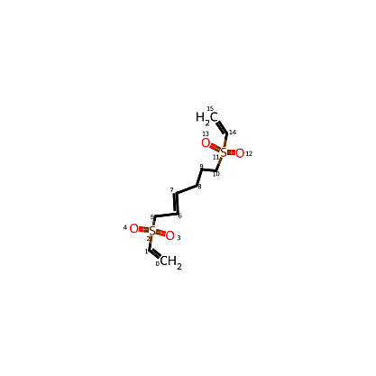 C=CS(=O)(=O)CC=CCCCS(=O)(=O)C=C